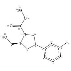 Cc1cccc(C2C[C@@H](CO)N(C(=O)OC(C)(C)C)C2)c1